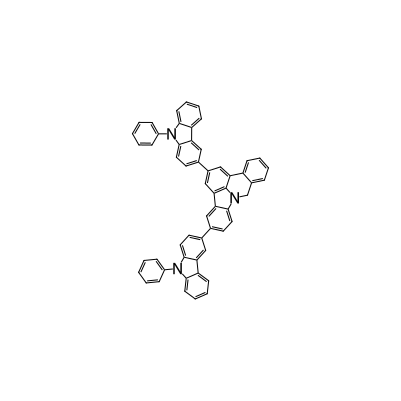 c1ccc(-n2c3ccccc3c3cc(-c4ccc5c(c4)c4cc(-c6ccc7c(c6)c6ccccc6n7-c6ccccc6)cc6c4n5Cc4ccccc4-6)ccc32)cc1